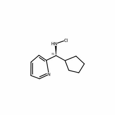 ClN[C@H](c1ccccn1)C1CCCC1